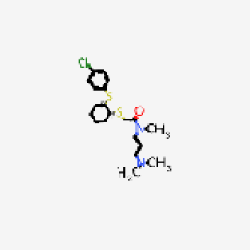 CN(C)CCCN(C)C(=O)CS[C@@H]1CCCC[C@H]1Sc1ccc(Cl)cc1